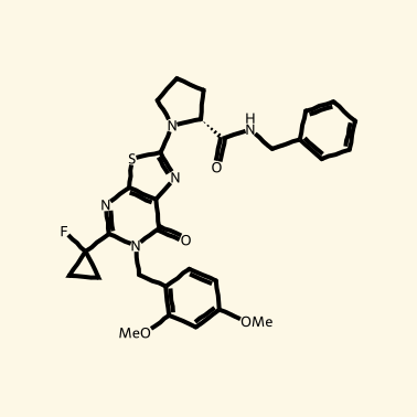 COc1ccc(Cn2c(C3(F)CC3)nc3sc(N4CCC[C@@H]4C(=O)NCc4ccccc4)nc3c2=O)c(OC)c1